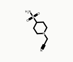 N#CCN1CCC(S(N)(=O)=O)CC1